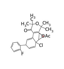 CC(=O)OC1=C(C2=CC(c3ccccc3F)C=CC2(Cl)C2CC2)C(=O)C(C)(C)OC1(C)C